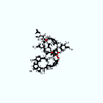 CN[C@H](CC(C)C)C(=O)N[C@@H]1C(=O)NC(CC(N)=O)C(=O)NC2C(=O)NC3C(=O)N[C@H](C(=O)NC(C(=O)O)c4cc(O)cc(O)c4-c4cc3ccc4O)[C@H](O)c3ccc(c(Cl)c3)Oc3cc2cc(c3OC2OC(CO)C(O)C(O)C2OC2CC(C)(NCC(OC)C(=O)OC)C(O)C(C)O2)Oc2ccc(cc2Cl)C1O